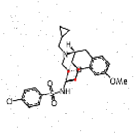 COc1ccc2c(c1)[C@]13CCN(CC4CC4)[C@H](C2)[C@@]12CCC(NS(=O)(=O)c1ccc(Cl)cc1)(CO2)C3